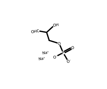 O=CC(O)COP(=O)([O-])[O-].[Na+].[Na+]